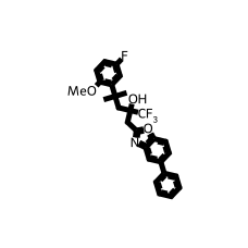 COc1ccc(F)cc1C(C)(C)CC(O)(Cc1nc2cc(-c3ccccc3)ccc2o1)C(F)(F)F